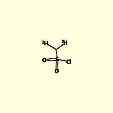 [2H]C([2H])S(=O)(=O)Cl